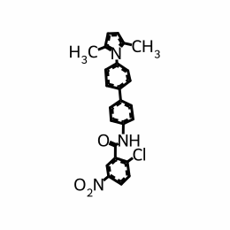 Cc1ccc(C)n1-c1ccc(-c2ccc(NC(=O)c3cc([N+](=O)[O-])ccc3Cl)cc2)cc1